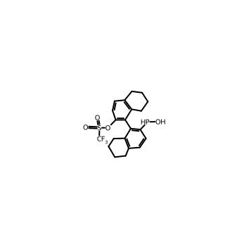 O=S(=O)(Oc1ccc2c(c1-c1c(PO)ccc3c1CCCC3)CCCC2)C(F)(F)F